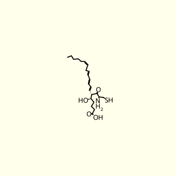 CCCCC/C=C\C/C=C/C=CC=C[C@H](C(=O)C(N)CS)[C@H](O)CCCC(=O)O